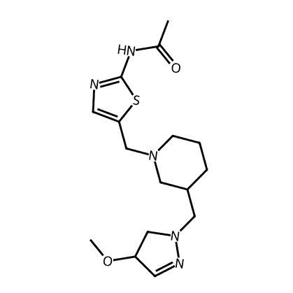 COC1C=NN(CC2CCCN(Cc3cnc(NC(C)=O)s3)C2)C1